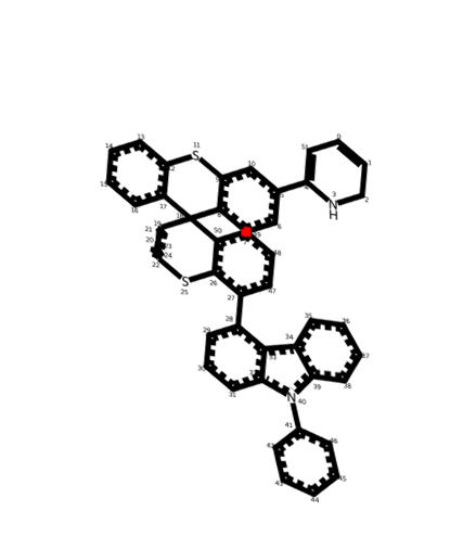 C1=CCNC(c2ccc3c(c2)Sc2ccccc2C32c3ccccc3Sc3c(-c4cccc5c4c4ccccc4n5-c4ccccc4)cccc32)=C1